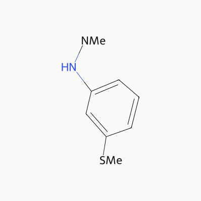 CNNc1cccc(SC)c1